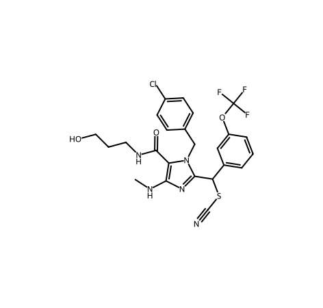 CNc1nc(C(SC#N)c2cccc(OC(F)(F)F)c2)n(Cc2ccc(Cl)cc2)c1C(=O)NCCCO